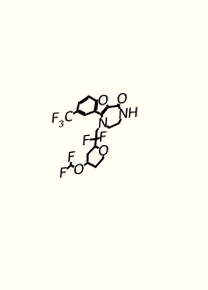 O=C1NCCN(CC(F)(F)C2CC(OC(F)F)CCO2)c2c1oc1ccc(C(F)(F)F)cc21